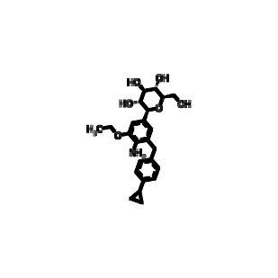 CCOc1cc([C@@H]2O[C@H](CO)[C@@H](O)[C@H](O)[C@H]2O)cc(Cc2ccc(C3CC3)cc2)c1N